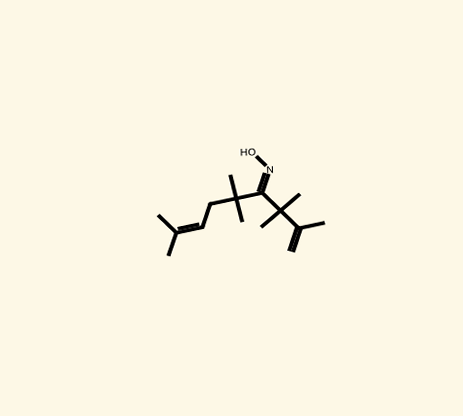 C=C(C)C(C)(C)C(=NO)C(C)(C)CC=C(C)C